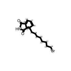 O=C1NC(=O)c2c(CCCCCCCCBr)cccc21